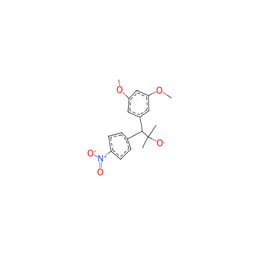 COc1cc(OC)cc(C(c2ccc([N+](=O)[O-])cc2)C(C)(C)[O])c1